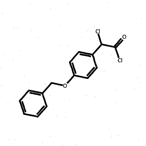 O=C(Cl)C(Cl)c1ccc(OCc2ccccc2)cc1